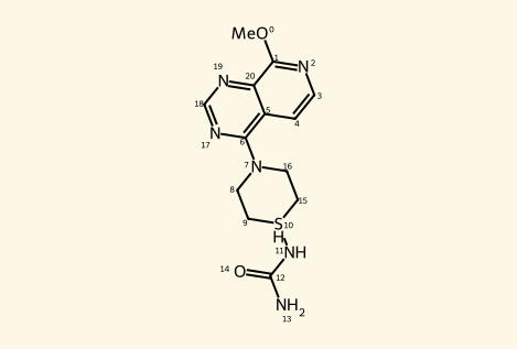 COc1nccc2c(N3CC[SH](NC(N)=O)CC3)ncnc12